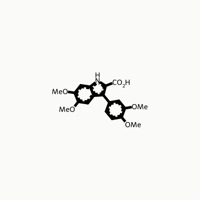 COc1ccc(-c2c(C(=O)O)[nH]c3cc(OC)c(OC)cc23)cc1OC